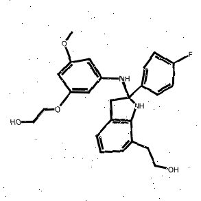 COc1cc(NC2(c3ccc(F)cc3)[CH]c3cccc(CCO)c3N2)cc(OCCO)c1